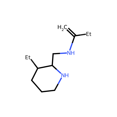 C=C(CC)NCC1NCCCC1CC